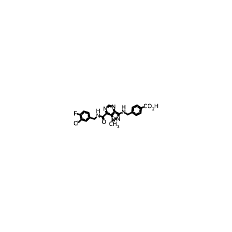 Cn1nc(NCc2ccc(C(=O)O)cc2)c2ncnc(C(=O)NCc3ccc(F)c(Cl)c3)c21